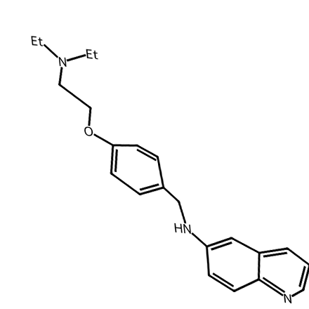 CCN(CC)CCOc1ccc(CNc2ccc3ncccc3c2)cc1